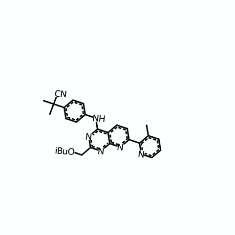 Cc1cccnc1-c1ccc2c(Nc3ccc(C(C)(C)C#N)cc3)nc(COCC(C)C)nc2n1